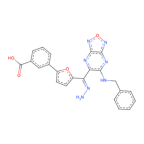 NN=C(c1ccc(-c2cccc(C(=O)O)c2)o1)c1nc2nonc2nc1NCc1ccccc1